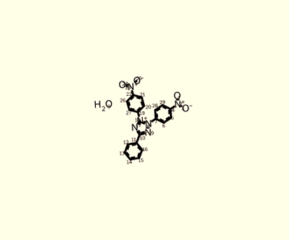 O.O=[N+]([O-])c1ccc(-n2nc(-c3ccccc3)n[n+]2-c2ccc([N+](=O)[O-])cc2)cc1